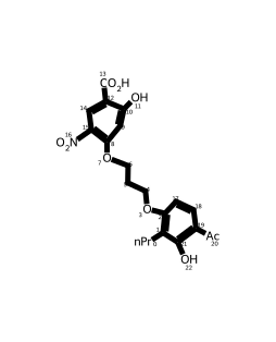 CCCc1c(OCCCOc2cc(O)c(C(=O)O)cc2[N+](=O)[O-])ccc(C(C)=O)c1O